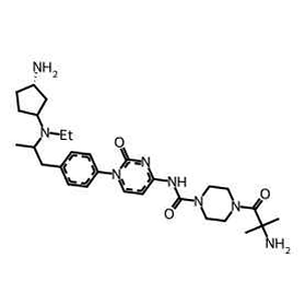 CCN(C(C)Cc1ccc(-n2ccc(NC(=O)N3CCN(C(=O)C(C)(C)N)CC3)nc2=O)cc1)C1CC[C@H](N)C1